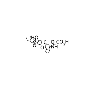 O=C(O)CC(=O)Nc1cc(Cl)c(Oc2ccc(O)c(S(=O)(=O)CC3CCCCC3)c2)c2c1CCC2